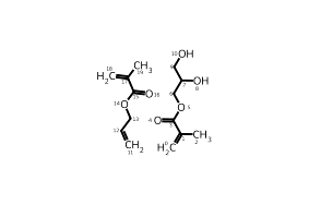 C=C(C)C(=O)OCC(O)CO.C=CCOC(=O)C(=C)C